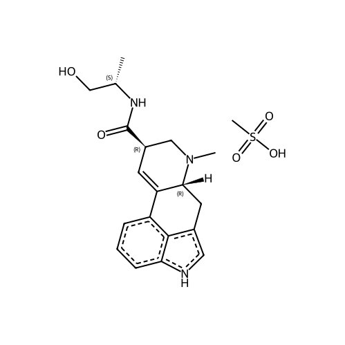 CS(=O)(=O)O.C[C@@H](CO)NC(=O)[C@@H]1C=C2c3cccc4[nH]cc(c34)C[C@H]2N(C)C1